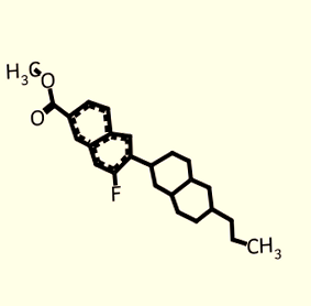 CCCC1CCC2CC(c3cc4ccc(C(=O)OC)cc4cc3F)CCC2C1